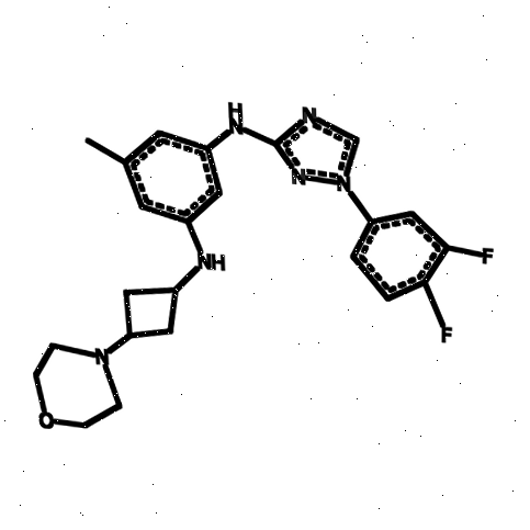 Cc1cc(Nc2ncn(-c3ccc(F)c(F)c3)n2)cc(NC2CC(N3CCOCC3)C2)c1